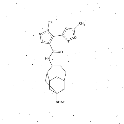 CC(=O)NC12CC3CCC(NC(=O)c4cnn(C(C)(C)C)c4-c4cc(C)on4)C(C1)C(C3)C2